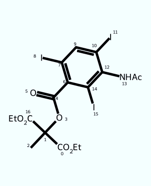 CCOC(=O)C(C)(OC(=O)c1c(I)cc(I)c(NC(C)=O)c1I)C(=O)OCC